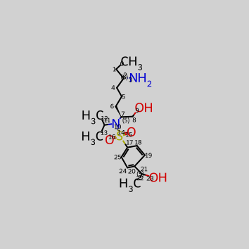 CC[C@H](N)CCC[C@@H](CO)N(C(C)C)S(=O)(=O)c1ccc([C@H](C)O)cc1